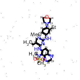 C=Cc1cnc(Nc2cc(CC)c(N3CCOCC3)cc2OC)nc1Nc1ccc2nccnc2c1N(C)S(C)(=O)=O